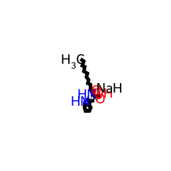 CCCCCCCCCCCC(=O)N[C@@H](Cc1c[nH]c2ccccc12)C(=O)O.[NaH]